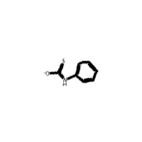 [O]C(=S)Nc1ccccc1